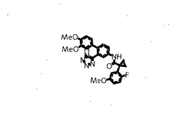 COc1ccc(F)c(C2(C(=O)Nc3ccc(-c4ccc(OC)c(OC)c4)c(-c4nnn[nH]4)c3)CC2)c1